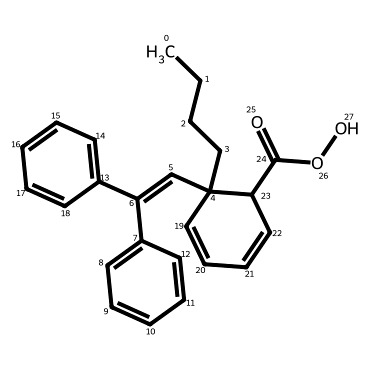 CCCCC1(C=C(c2ccccc2)c2ccccc2)C=CC=CC1C(=O)OO